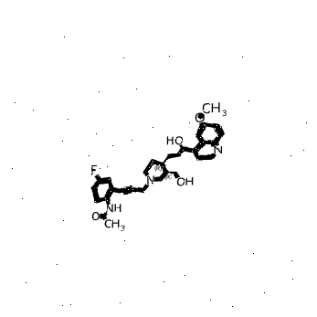 COc1ccc2nccc([C@H](O)CC[C@@H]3CCN(CC#Cc4cc(F)ccc4NC(C)=O)C[C@@H]3CO)c2c1